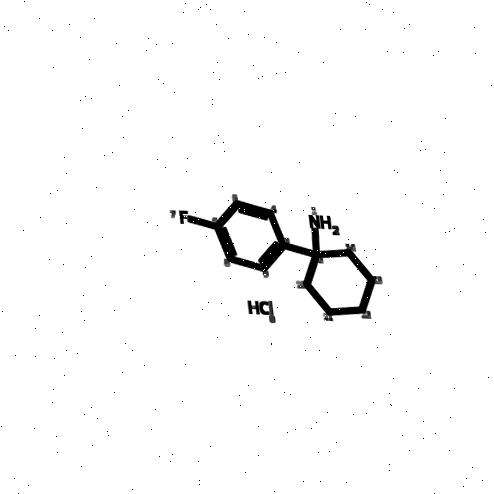 Cl.NC1(c2ccc(F)cc2)CCCCC1